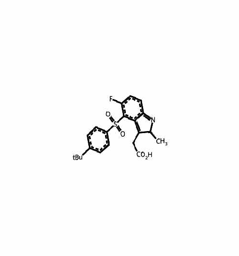 CC1N=c2ccc(F)c(S(=O)(=O)c3ccc(C(C)(C)C)cc3)c2=C1CC(=O)O